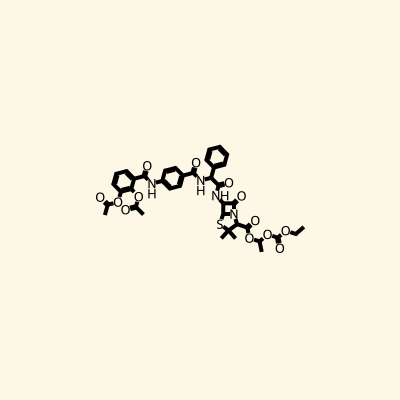 CCOC(=O)OC(C)OC(=O)C1N2C(=O)C(NC(=O)C(NC(=O)c3ccc(NC(=O)c4cccc(OC(C)=O)c4OC(C)=O)cc3)c3ccccc3)C2SC1(C)C